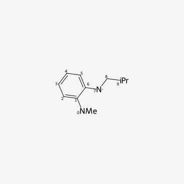 CNc1ccccc1[N]CC(C)C